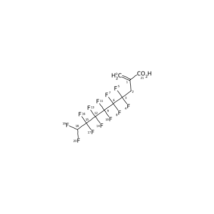 C=C(CC(F)(F)C(F)(F)C(F)(F)C(F)(F)C(F)(F)C(F)F)C(=O)O